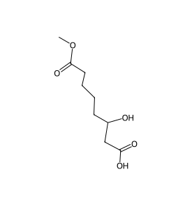 COC(=O)CCCCC(O)CC(=O)O